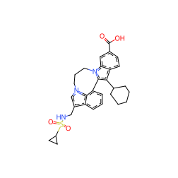 O=C(O)c1ccc2c(C3CCCCC3)c3n(c2c1)CCCn1cc(CNS(=O)(=O)C2CC2)c2cccc-3c21